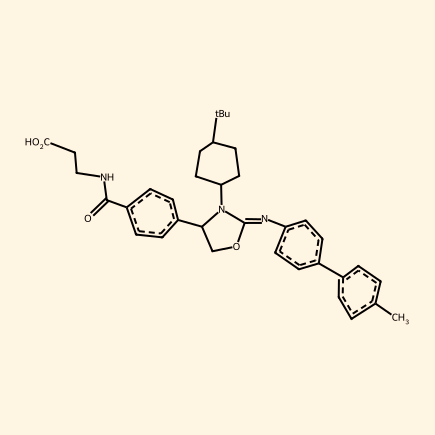 Cc1ccc(-c2ccc(N=C3OCC(c4ccc(C(=O)NCCC(=O)O)cc4)N3C3CCC(C(C)(C)C)CC3)cc2)cc1